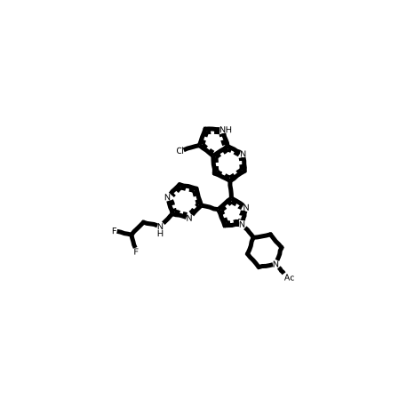 CC(=O)N1CCC(n2cc(-c3ccnc(NCC(F)F)n3)c(-c3cnc4[nH]cc(Cl)c4c3)n2)CC1